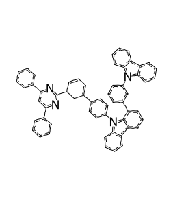 C1=CC(c2nc(-c3ccccc3)cc(-c3ccccc3)n2)CC(c2ccc(-n3c4ccccc4c4cccc(-c5cccc(-n6c7ccccc7c7ccccc76)c5)c43)cc2)=C1